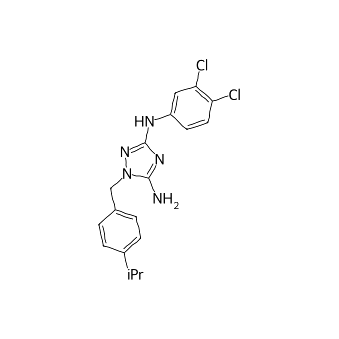 CC(C)c1ccc(Cn2nc(Nc3ccc(Cl)c(Cl)c3)nc2N)cc1